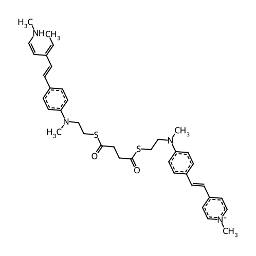 C/C=C(\C=C/NC)/C=C/c1ccc(N(C)CCSC(=O)CCC(=O)SCCN(C)c2ccc(/C=C/c3cc[n+](C)cc3)cc2)cc1